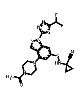 CC(=O)N1CCN(c2cc(SNC3(C#N)CC3)cc3c2cnn3-c2nnc(C(F)F)s2)CC1